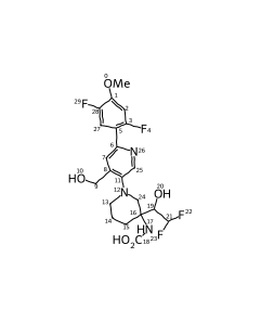 COc1cc(F)c(-c2cc(CO)c(N3CCCC(NC(=O)O)(C(O)C(F)F)C3)cn2)cc1F